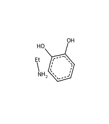 CCN.Oc1ccccc1O